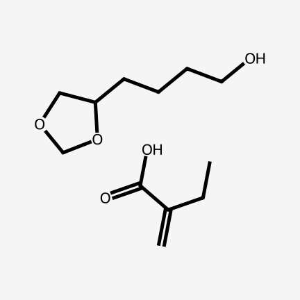 C=C(CC)C(=O)O.OCCCCC1COCO1